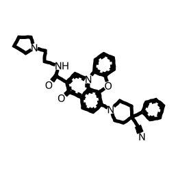 N#CC1(c2ccccc2)CCN(c2ccc3c(=O)c(C(=O)NCCN4CCCC4)cn4c3c2Oc2ccccc2-4)CC1